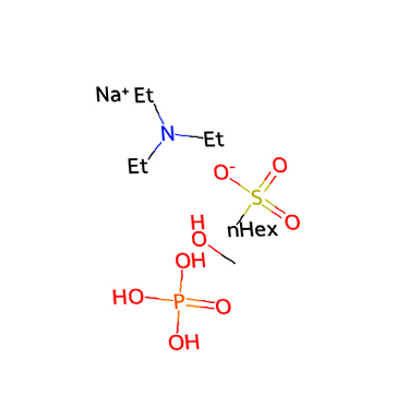 CCCCCCS(=O)(=O)[O-].CCN(CC)CC.CO.O=P(O)(O)O.[Na+]